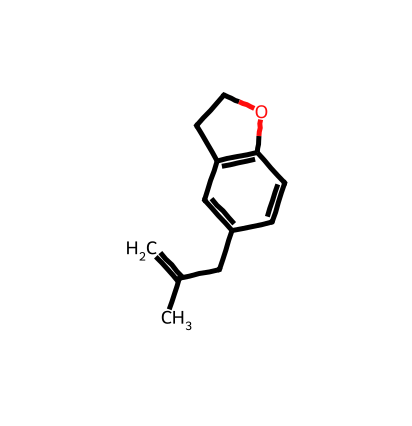 C=C(C)Cc1ccc2c(c1)CCO2